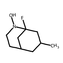 CC1CC2CCN(O)C(F)(C1)C2